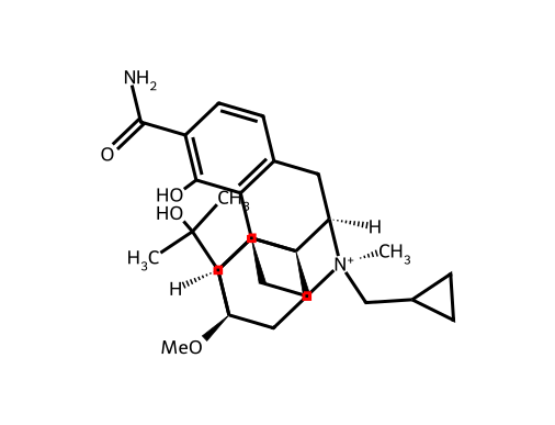 CO[C@]12CC[C@@]3(C[C@@H]1C(C)(C)O)[C@H]1Cc4ccc(C(N)=O)c(O)c4[C@@]3(CC[N@+]1(C)CC1CC1)C2